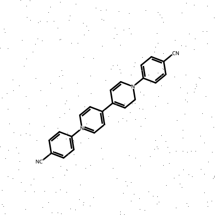 N#Cc1ccc(N2C=CC(c3cc[n+](-c4ccc(C#N)cc4)cc3)=CC2)cc1